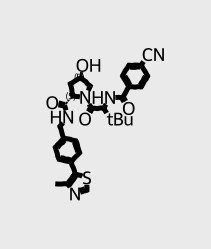 Cc1ncsc1-c1ccc(CNC(=O)[C@@H]2C[C@@H](O)CN2C(=O)C(NC(=O)c2ccc(C#N)cc2)C(C)(C)C)cc1